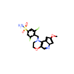 COC1=CC2N=CC3=C(C2=C1)N(Cc1c(F)cc(S(N)(=O)=O)cc1F)CCO3